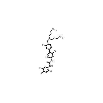 NCCCN(CCCN)Cc1ccc(-c2c[nH]c(NC(=O)Nc3cc(F)c(F)cc3F)nc2=O)cc1F